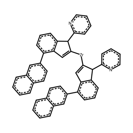 C1=[C]([Zr][C]2=Cc3c(-c4ccc5ccccc5c4)cccc3C2c2ccccn2)C(c2ccccn2)c2cccc(-c3ccc4ccccc4c3)c21